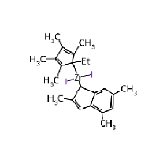 CC[C]1([Zr]([I])([I])[CH]2C(C)=Cc3c(C)cc(C)cc32)C(C)=C(C)C(C)=C1C